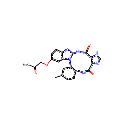 COC(=O)COc1ccc2nc3[nH]c(=O)c4[nH]cnc4c(=O)[nH]c4ccc(C)cc4n3c2c1